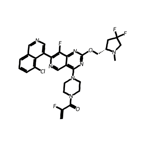 C=C(F)C(=O)N1CCN(c2nc(OC[C@@H]3CC(F)(F)CN3C)nc3c(F)c(-c4cncc5cccc(Cl)c45)ncc23)CC1